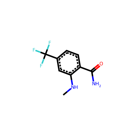 CNc1cc(C(F)(F)F)ccc1C(N)=O